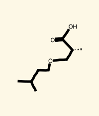 CC(C)CCOC[C@@H](C)C(=O)O